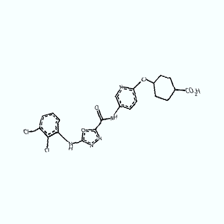 O=C(Nc1ccc(OC2CCC(C(=O)O)CC2)nc1)c1nnc(Nc2cccc(Cl)c2Cl)o1